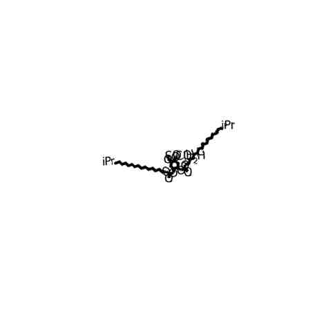 CC(C)CCCCCCCCCCCCCCCOC(=O)OC1CC(OC(=O)O)C(OC(=O)O)CC1OC(=O)OCCCCCCCCCCCCCCCC(C)C